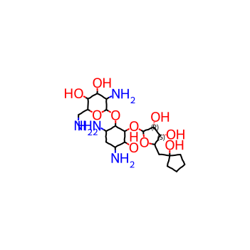 NCC1OC(OC2C(N)CC(N)C(O)C2OC2OC(CC3(O)CCCC3)[C@@H](O)[C@H]2O)C(N)C(O)C1O